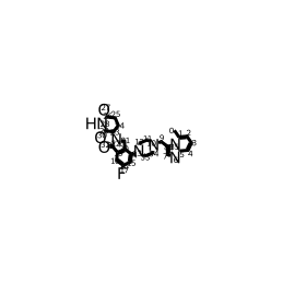 Cc1cccc2ncc(CN3CCN(c4cc(F)cc5c4CN(C4CCC(=O)NC4=O)C5=O)CC3)n12